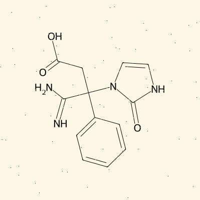 N=C(N)C(CC(=O)O)(c1ccccc1)n1cc[nH]c1=O